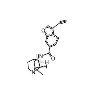 C#Cc1coc2cc(C(=O)N[C@@H]3C4CCN(CC4)[C@H]3C)ccc12